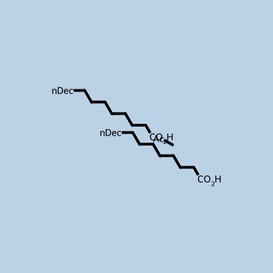 CC(C)=O.CCCCCCCCCCCCCCCCCC(=O)O.CCCCCCCCCCCCCCCCCC(=O)O